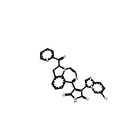 O=C1NC(=O)C(c2cnc3ccc(Cl)cn23)=C1C1=NC=CN2c3c(cccc31)CC2C(=O)c1ccccn1